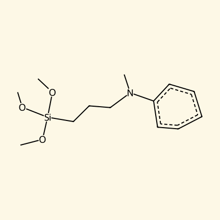 CO[Si](CCCN(C)c1ccccc1)(OC)OC